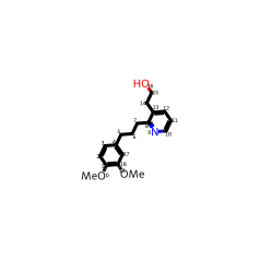 COc1ccc(CCCc2ncccc2CCO)cc1OC